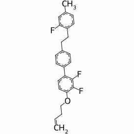 C=CCCOc1ccc(-c2ccc(CCc3ccc(C)cc3F)cc2)c(F)c1F